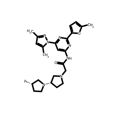 Cc1cc(C)n(-c2cc(NC(=O)CN3CC[C@H](N4CC[C@H](F)C4)C3)nc(-c3ccc(C)o3)n2)n1